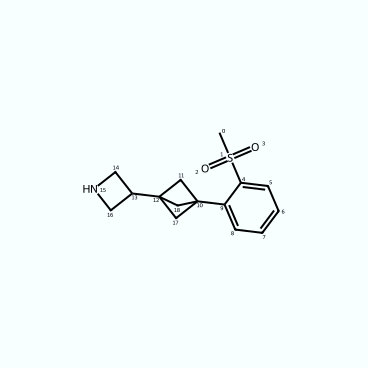 CS(=O)(=O)c1ccccc1C12CC(C3CNC3)(C1)C2